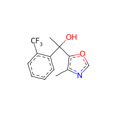 Cc1ncoc1C(C)(O)c1ccccc1C(F)(F)F